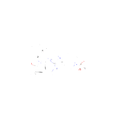 C[C@@]1(O)CCC[C@H]1n1c(=O)c(I)cc2cnc(NC3CCN(S(C)(=O)=O)CC3)nc21